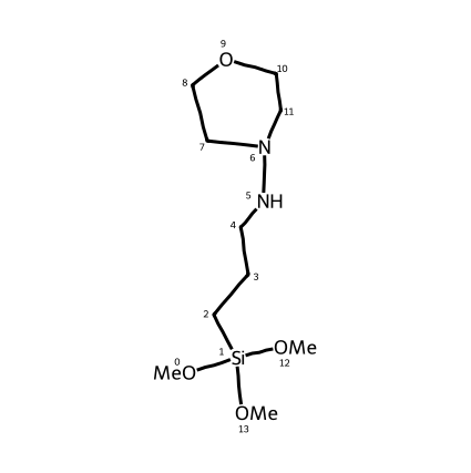 CO[Si](CCCNN1CCOCC1)(OC)OC